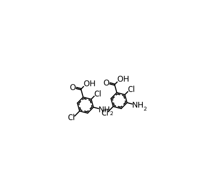 Nc1cc(Cl)cc(C(=O)O)c1Cl.Nc1cc(Cl)cc(C(=O)O)c1Cl